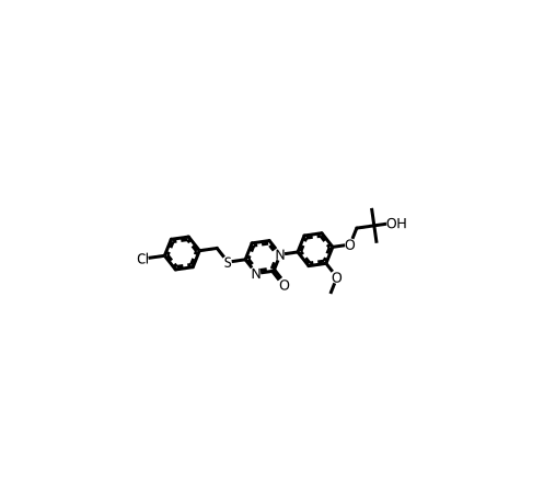 COc1cc(-n2ccc(SCc3ccc(Cl)cc3)nc2=O)ccc1OCC(C)(C)O